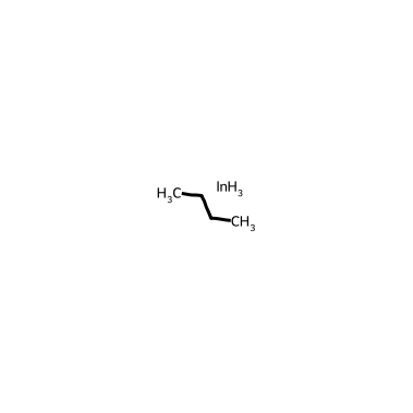 CCCC.[InH3]